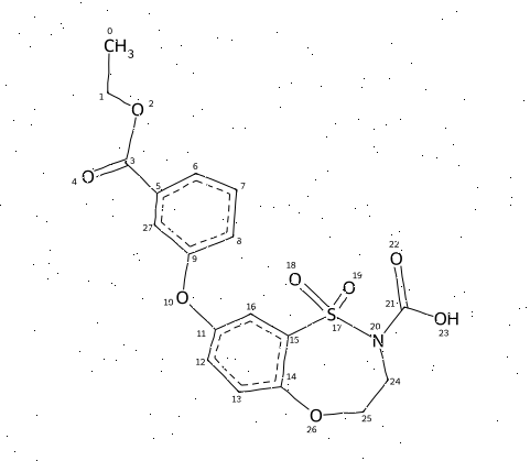 CCOC(=O)c1cccc(Oc2ccc3c(c2)S(=O)(=O)N(C(=O)O)CCO3)c1